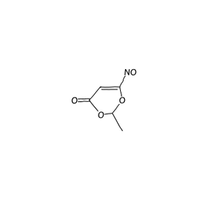 CC1OC(=O)C=C(N=O)O1